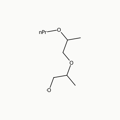 C[CH]COC(C)COC(C)C[O]